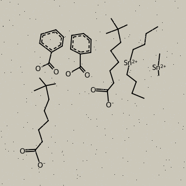 CC(C)(C)CCCCCC(=O)[O-].CC(C)(C)CCCCCC(=O)[O-].CCC[CH2][Sn+2][CH2]CCC.O=C([O-])c1ccccc1.O=C([O-])c1ccccc1.[CH3][Sn+2][CH3]